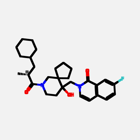 C[C@H](CC1CCCCC1)C(=O)N1CCC(O)(Cn2ccc3ccc(F)cc3c2=O)C2(CCCC2)C1